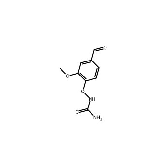 COc1cc(C=O)ccc1ONC(N)=O